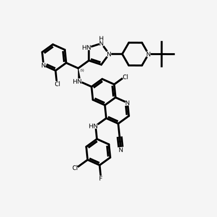 CC(C)(C)N1CCC(N2C=C([C@@H](Nc3cc(Cl)c4ncc(C#N)c(Nc5ccc(F)c(Cl)c5)c4c3)c3cccnc3Cl)NN2)CC1